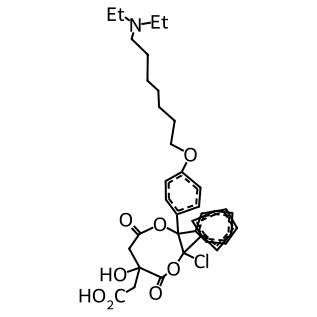 CCN(CC)CCCCCCCOc1ccc(C2(c3ccccc3)OC(=O)CC(O)(CC(=O)O)C(=O)OC2(Cl)c2ccccc2)cc1